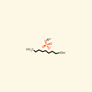 CCCCCCCCCCCCCCCCCC(=O)O.O=P([O-])([O-])[O-].[Al+3]